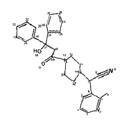 Cc1ncccc1C(C#N)N1CCN(C(=O)CC(O)(c2ccccc2)c2ccccc2)CC1